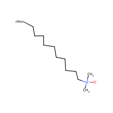 CCCCCCCCCCCCCCCCCCC[N+](C)(C)[O-]